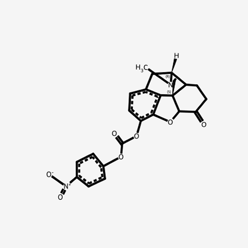 CN1C[C@]23c4c5ccc(OC(=O)Oc6ccc([N+](=O)[O-])cc6)c4OC2C(=O)CCC3[C@H]1C5